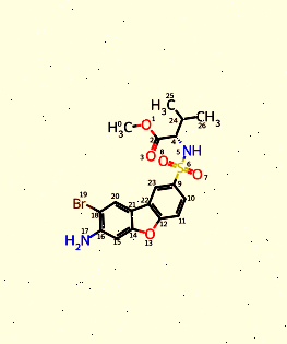 COC(=O)[C@@H](NS(=O)(=O)c1ccc2oc3cc(N)c(Br)cc3c2c1)C(C)C